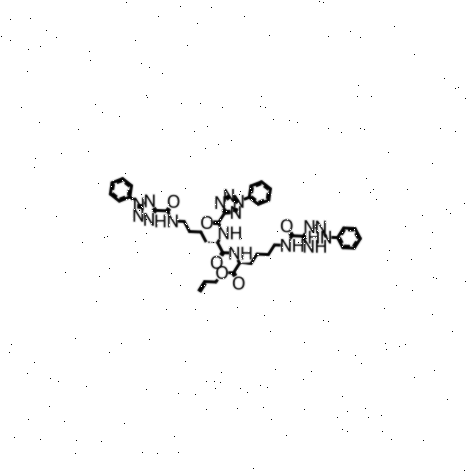 C=CCOC(=O)[C@H](CCCCNC(=O)C(=N)/N=N\Nc1ccccc1)NC(=O)[C@H](CCCCNC(=O)c1nnn(-c2ccccc2)n1)NC(=O)c1nnn(-c2ccccc2)n1